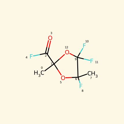 CC1(C(=O)F)OC(C)(F)C(F)(F)O1